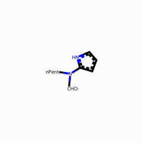 CCCCCN([C]=O)c1ccc[nH]1